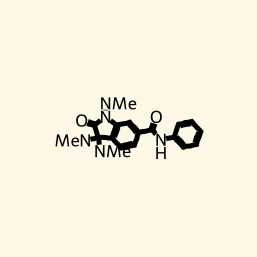 CNN1C(=O)C(NC)(NC)c2ccc(C(=O)Nc3ccccc3)cc21